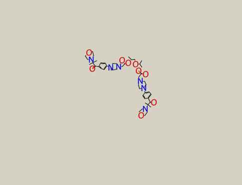 CC(COC(=O)CN1CCN(c2ccc(C(=O)C(C)(C)N3CCOCC3)cc2)CC1)OCC(C)OC(=O)CN1CCN(c2ccc(C(=O)C(C)(C)N3CCOCC3)cc2)CC1